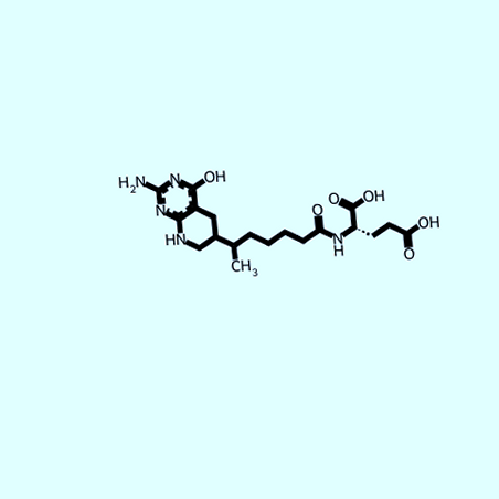 CC(CCCCC(=O)N[C@@H](CCC(=O)O)C(=O)O)C1CNc2nc(N)nc(O)c2C1